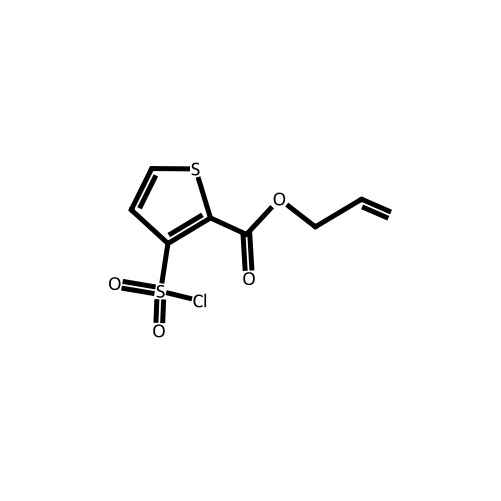 C=CCOC(=O)c1sccc1S(=O)(=O)Cl